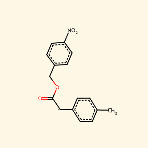 Cc1ccc([CH]C(=O)OCc2ccc([N+](=O)[O-])cc2)cc1